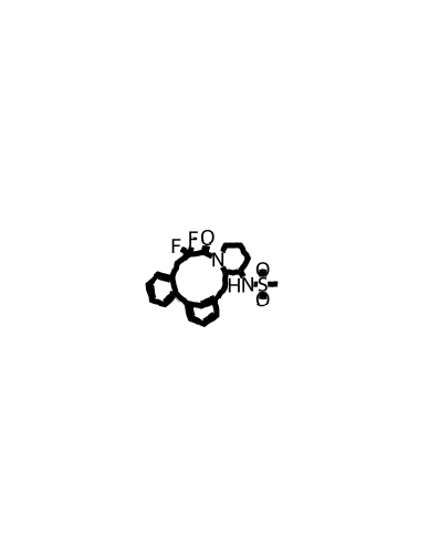 CS(=O)(=O)NC1CCCN2C(=O)C(F)(F)Cc3ccccc3-c3cccc(c3)CC12